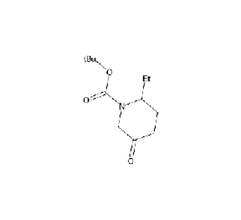 CCC1CCC(=O)CN1C(=O)OC(C)(C)C